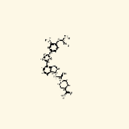 CC(C)Oc1ccc(-c2nc(-c3cccc4c3CC[C@@H]4NC(=O)N3CCC(C(=O)O)CC3)no2)cc1N